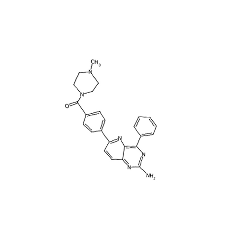 CN1CCN(C(=O)c2ccc(-c3ccc4nc(N)nc(-c5ccccc5)c4n3)cc2)CC1